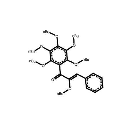 CCCCOC(=Cc1ccccc1)C(=O)c1c(OCCCC)c(OCCCC)c(OCCCC)c(OCCCC)c1OCCCC